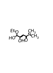 CCOC(O)/C(O)=C/C(=O)N(C)C